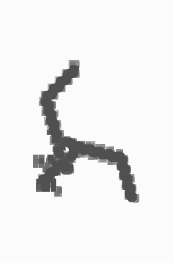 CCCCCCCC/C=C\CCCCCCCCN1CCN(CCCCCCCC/C=C\CCCCCCCC)CCN(C(=O)C(N)CCCCN)CC1